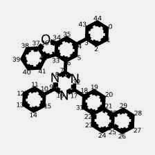 c1ccc(-c2cc(-c3nc(-c4ccccc4)nc(-c4ccc5c(ccc6ccccc65)c4)n3)c3c(c2)oc2ccccc23)cc1